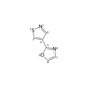 [c]1nscc1-c1ncco1